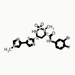 CN1[C@H](C(=O)Nc2ccc(F)c(Br)c2)C[C@H](c2ncc(-c3cn(C)cn3)s2)NS1(=O)=O